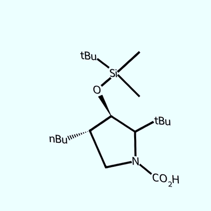 CCCC[C@H]1CN(C(=O)O)C(C(C)(C)C)[C@@H]1O[Si](C)(C)C(C)(C)C